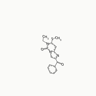 CCn1c(SC)cc2nc(C(=O)c3ccccc3)cn2c1=O